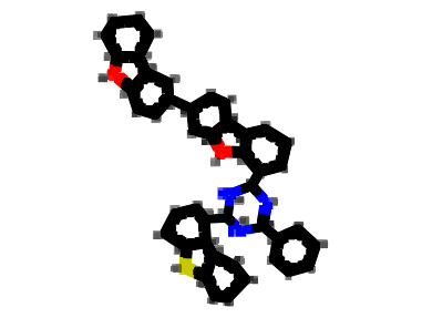 c1ccc(C2=NC(c3cccc4c3oc3cc(-c5ccc6oc7ccccc7c6c5)ccc34)NC(c3cccc4sc5ccccc5c34)N2)cc1